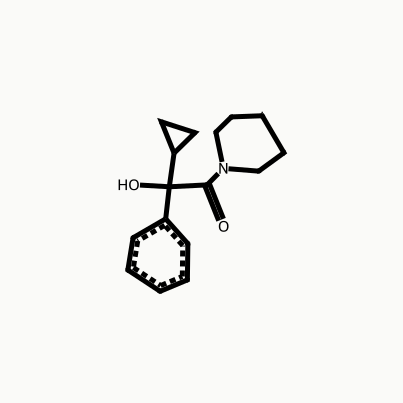 O=C(N1CC[CH]CC1)C(O)(c1ccccc1)C1CC1